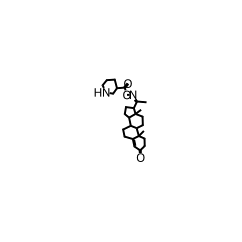 C/C(=N/OC(=O)C1CCCNC1)C1CCC2C3CCC4=CC(=O)CCC4(C)C3CCC12C